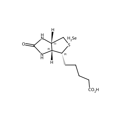 O=C(O)CCCC[C@H]1SC[C@H]2NC(=O)N[C@H]21.[SeH2]